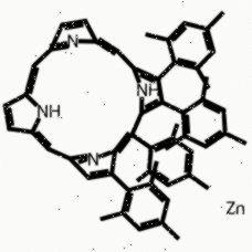 Cc1cc(C)c(C2=Cc3cc4ccc(cc5nc(cc6[nH]c(c(-c7c(C)cc(C)cc7C)c2n3)c(-c2c(C)cc(C)cc2C)c6-c2c(C)cc(C)cc2C)C=C5)[nH]4)c(C)c1.[Zn]